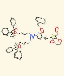 CC(C)(C)[Si](OCCCCN(CCCCO[Si](c1ccccc1)(c1ccccc1)C(C)(C)C)c1ccc(C=Cc2sc(C=O)c3c2OCCO3)c(OCc2ccccc2)c1)(c1ccccc1)c1ccccc1